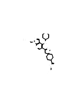 CCNC(=O)C1CCC2(CC1)CC(c1cnc3c(cnn3CC)c1NC1CCOCC1)=NO2